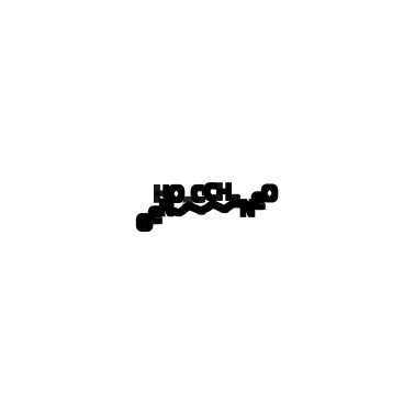 CC(=O)O.O=C=NCCCCCCN=C=O